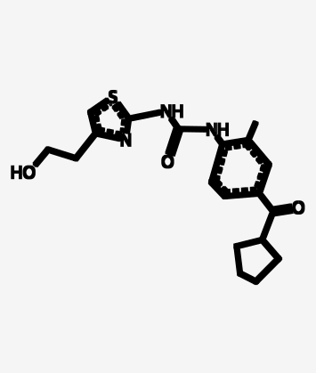 Cc1cc(C(=O)C2CCCC2)ccc1NC(=O)Nc1nc(CCO)cs1